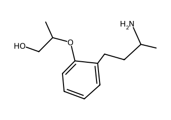 CC(N)CCc1ccccc1OC(C)CO